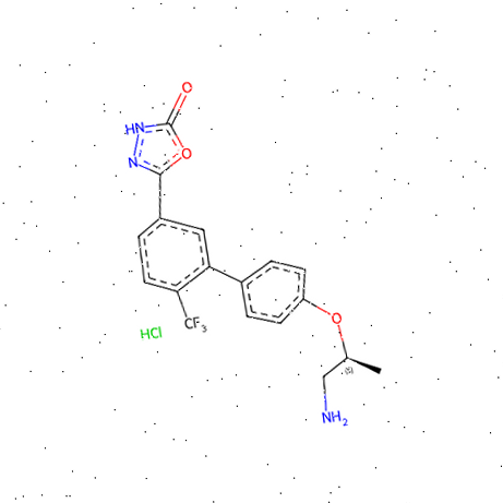 C[C@@H](CN)Oc1ccc(-c2cc(-c3n[nH]c(=O)o3)ccc2C(F)(F)F)cc1.Cl